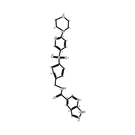 O=C(NCc1ccc(S(=O)(=O)c2ccc(N3CCOCC3)nc2)cc1)c1cnc2[nH]ncc2c1